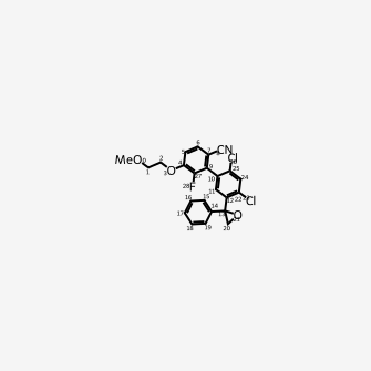 COCCOc1ccc(C#N)c(-c2cc(C3(c4ccccc4)CO3)c(Cl)cc2Cl)c1F